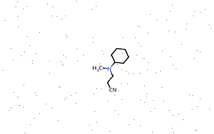 CN(CCC#N)C1CCCCC1